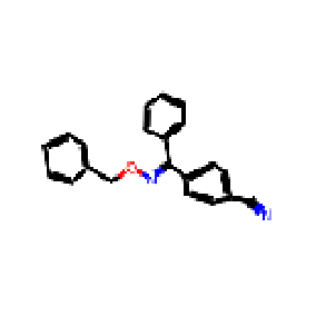 N#Cc1ccc(C(=NOCc2ccccc2)c2ccccc2)cc1